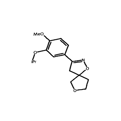 COc1ccc(C2=NOC3(CCOC3)C2)cc1OC(C)C